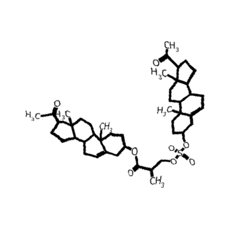 CC(=O)C1CCC2C3CC=C4CC(OC(=O)C(C)COS(=O)(=O)OC5CCC6(C)C(=CCC7C6CCC6(C)C(C(C)=O)CCC76)C5)CCC4(C)C3CCC12C